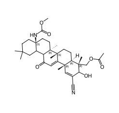 COC(=O)N[C@]12CCC(C)(C)CC1C1C(=O)C=C3[C@@]4(C)C=C(C#N)C(O)[C@@](C)(COC(C)=O)[C@@H]4CC[C@@]3(C)[C@]1(C)CC2